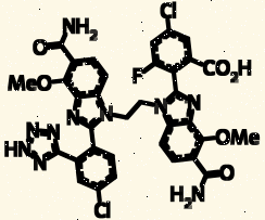 COc1c(C(N)=O)ccc2c1nc(-c1ccc(Cl)cc1-c1nn[nH]n1)n2CCn1c(-c2c(F)cc(Cl)cc2C(=O)O)nc2c(OC)c(C(N)=O)ccc21